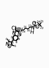 Cc1noc(C)c1-c1ccc2nc(NCCCCNC(=O)OC(C)(C)C)c(Cl)nc2c1